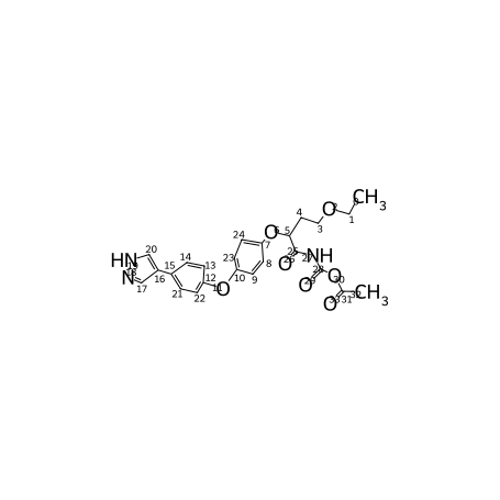 CCOCCC(Oc1ccc(Oc2ccc(-c3cn[nH]c3)cc2)cc1)C(=O)NC(=O)OC(C)=O